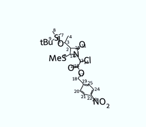 CSC1C(C(C)O[Si](C)(C)C(C)(C)C)C(=O)N1C(Cl)C(=O)OCc1ccc([N+](=O)[O-])cc1